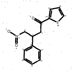 O=C(CC(C[N+](=O)[O-])c1ccccc1)c1cccs1